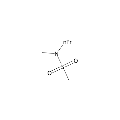 [CH2]CCN(C)S(C)(=O)=O